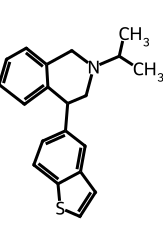 CC(C)N1Cc2ccccc2C(c2ccc3sccc3c2)C1